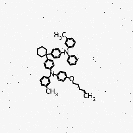 C=CCCCOc1ccc(N(c2ccc(C3(c4ccc(N(c5ccccc5)c5cccc(C)c5)cc4)CCCCC3)cc2)c2cccc(C)c2)cc1